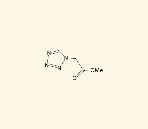 COC(=O)Cn1[c]nnn1